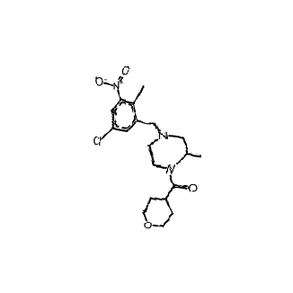 Cc1c(CN2CCN(C(=O)C3CCOCC3)C(C)C2)cc(Cl)cc1[N+](=O)[O-]